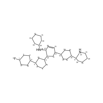 FC1CCC(C2CCCC(C3CC(C4CCC(C5CCCCN5)CC4)C=CC3NC3CCCCC3)C2)CC1